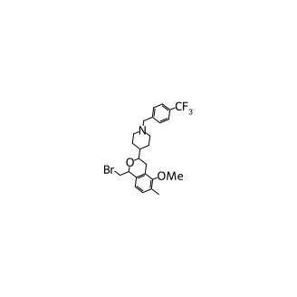 COc1c(C)ccc2c1CC(C1CCN(Cc3ccc(C(F)(F)F)cc3)CC1)OC2CBr